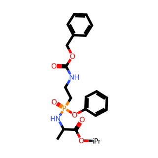 CC(C)OC(=O)C(C)NP(=O)(CCNC(=O)OCc1ccccc1)Oc1ccccc1